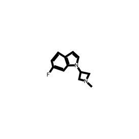 CN1CC(n2ccc3ccc(F)cc32)C1